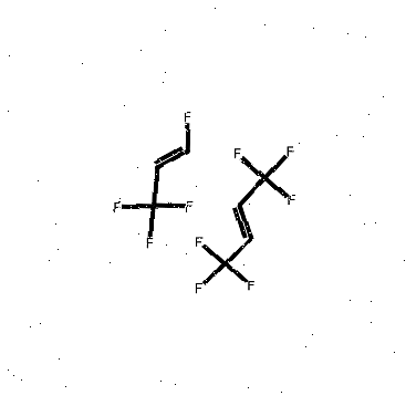 F/C=C/C(F)(F)F.FC(F)(F)C=CC(F)(F)F